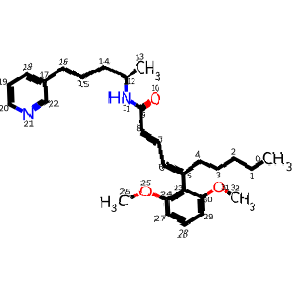 CCCCC/C(=C\C=C\C(=O)N[C@H](C)CCCc1cccnc1)c1c(OC)cccc1OC